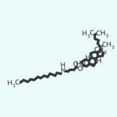 CCCCCCCCCCCCCCNCCCC(=O)O[C@H]1CC[C@@]2(C)C(=CC[C@H]3[C@@H]4CC[C@H]([C@H](C)CCCC(C)C)[C@@]4(C)CC[C@@H]32)C1